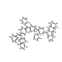 c1ccc(-c2cc(-n3c4ccccc4c4cc5ccccc5cc43)ccc2-c2ccc(N(c3ccccc3)c3ccc(-c4cc5ccccc5c5c4ccc4ccccc45)cc3)cc2)cc1